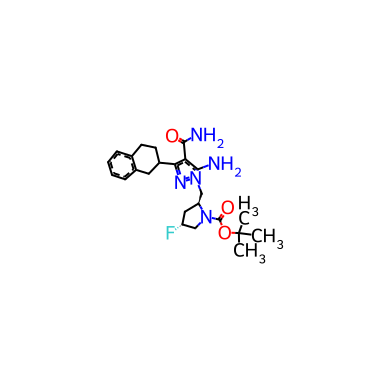 CC(C)(C)OC(=O)N1C[C@H](F)C[C@H]1Cn1nc(C2CCc3ccccc3C2)c(C(N)=O)c1N